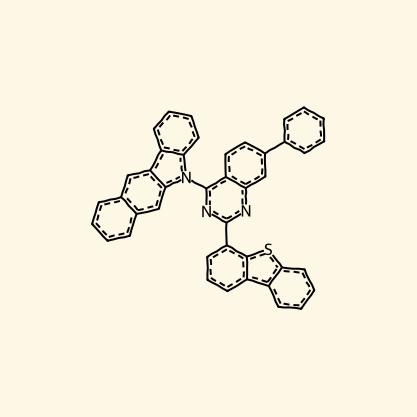 c1ccc(-c2ccc3c(-n4c5ccccc5c5cc6ccccc6cc54)nc(-c4cccc5c4sc4ccccc45)nc3c2)cc1